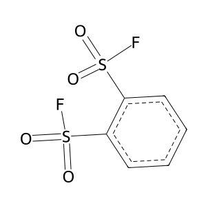 O=S(=O)(F)c1ccccc1S(=O)(=O)F